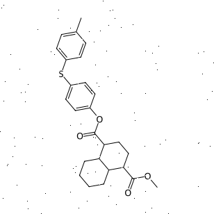 COC(=O)C1CCC(C(=O)Oc2ccc(Sc3ccc(C)cc3)cc2)C2CCCCC12